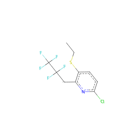 CCSc1ccc(Cl)nc1[CH]C(F)(F)C(F)(F)F